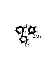 CCN1CCC(N2C=CC=CC(Cl)=C2)CC1.COc1ccccc1